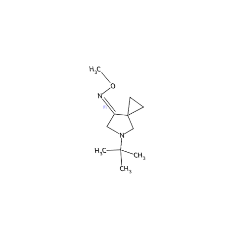 CO/N=C1/CN(C(C)(C)C)CC12CC2